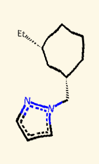 CC[C@@H]1CCC[C@H](Cn2cccn2)C1